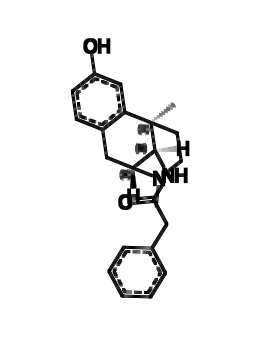 CN1CC[C@]2(C)c3cc(O)ccc3C[C@@H]1[C@@H]2NC(=O)Cc1ccccc1